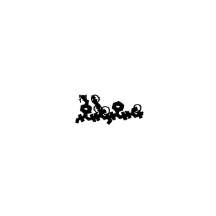 CCC(C)(C)C(CC(C)(C)C(C)(C)C(CC(C)(CC)C(C)(C)C(CC(C)(C)C(C)(C)C(C=O)CC(C)(C)C)c1ccccc1)C(=O)OCCOC)c1ccc(CN(C)C)cc1